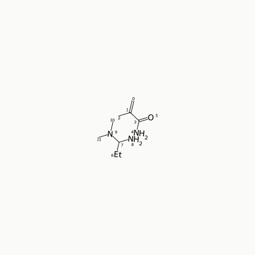 C=C(C)C(N)=O.CCC(N)N(C)C